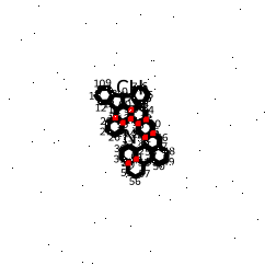 CC1(c2ccccc2)c2ccccc2-c2ccc(-c3ccccc3N(c3ccccc3-c3ccccc3)c3ccccc3-c3cccc4cccc(C5CCCCC5)c34)cc21